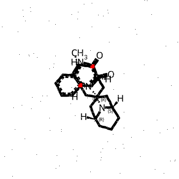 C[C@@H]1C[C@@H]2C[C@H](C1)C[C@@H](N1[C@@H]3CCC[C@H]1C[C@@H](n1c(=O)c(=O)[nH]c4ccccc41)C3)C2